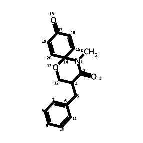 CN1C(=O)C(Cc2ccccc2)COC12C=CC(=O)C=C2